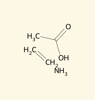 C=C.CC(=O)O.N